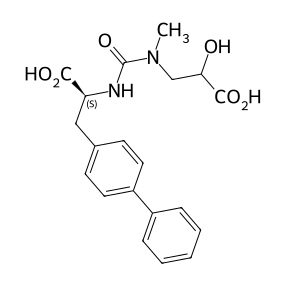 CN(CC(O)C(=O)O)C(=O)N[C@@H](Cc1ccc(-c2ccccc2)cc1)C(=O)O